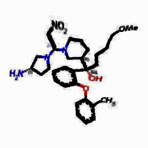 COCCCC[C@@](O)(c1ccccc1Oc1ccccc1C)[C@@H]1CCCN(/C(=C\[N+](=O)[O-])N2CC[C@H](N)C2)C1